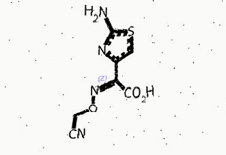 N#CCO/N=C(\C(=O)O)c1csc(N)n1